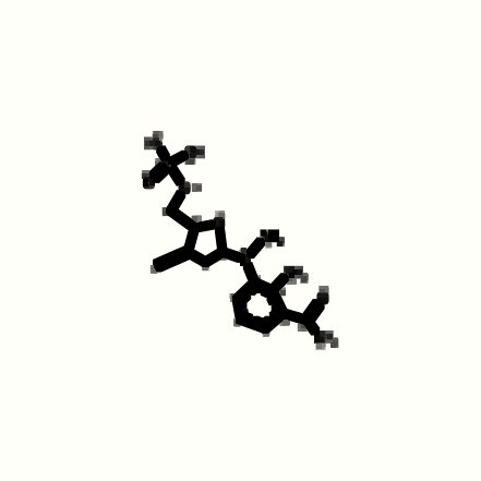 C=C1CC(N(N)c2cccc(C(N)=O)c2N)OC1COP(=O)(O)S